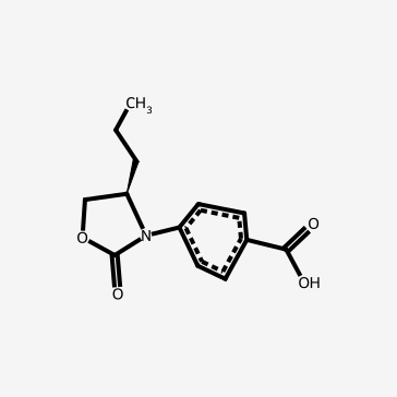 CCC[C@@H]1COC(=O)N1c1ccc(C(=O)O)cc1